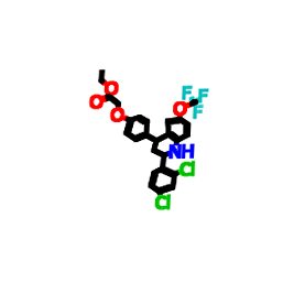 CCOC(=O)COc1ccc(C2CC(c3ccc(Cl)cc3Cl)Nc3ccc(OC(F)(F)F)cc32)cc1